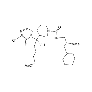 CNC(CNC(=O)N1CCCC(C(O)(CCCCOC)c2cccc(Cl)c2F)C1)CC1CCCCC1